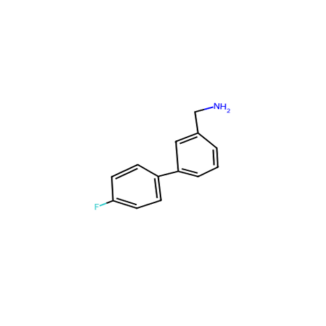 NCc1cccc(-c2ccc(F)cc2)c1